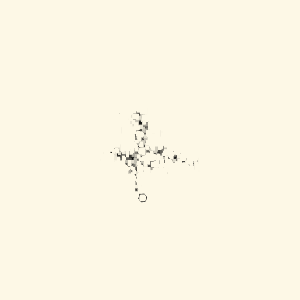 CN(C(=O)OC(C)(C)C)[C@@H]1C(O)[C@@H](OC2C(O)C(O[C@H]3O[C@H](CNCCOC(=O)c4ccccc4)CCC3NC(=O)OC(C)(C)C)[C@@H](NC(=O)OC(C)(C)C)C[C@H]2NC(=O)[C@@H](O)CCNC(=O)OC(C)(C)C)OCC1(C)O